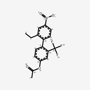 CCc1cc([N+](=O)[O-])ccc1-c1ccc(OC(C)=O)cc1C(F)(F)F